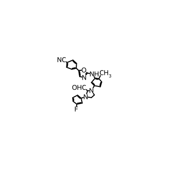 Cc1ccc(N2CCN(c3cccc(F)c3)C2C=O)cc1Nc1ncc(-c2ccc(C#N)cc2)o1